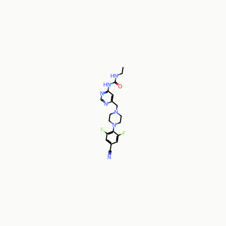 CCNC(=O)Nc1cc(CN2CCN(c3c(F)cc(C#N)cc3F)CC2)ncn1